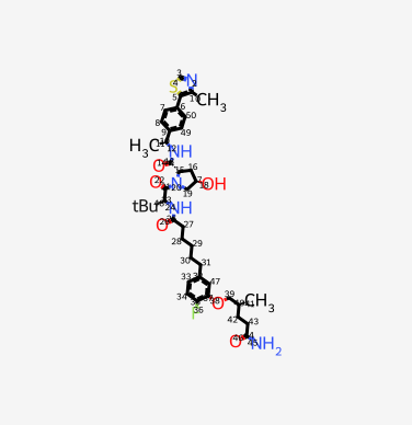 Cc1ncsc1-c1ccc([C@H](C)NC(=O)[C@@H]2C[C@@H](O)CN2C(=O)[C@@H](NC(=O)CCCCCc2ccc(F)c(OC[C@@H](C)CCC(N)=O)c2)C(C)(C)C)cc1